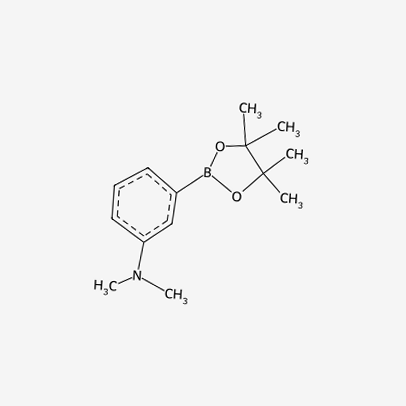 CN(C)c1cccc(B2OC(C)(C)C(C)(C)O2)c1